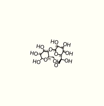 O=C=C(O)[C@H]1O[C@@H](O[C@H]2[C@H](O)[C@@H](O)C(O)O[C@@H]2CO)[C@H](O)[C@@H](O)[C@H]1O